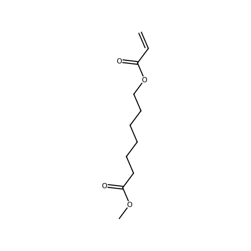 C=CC(=O)OCCCCCCC(=O)OC